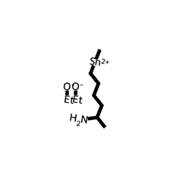 CC[O-].CC[O-].[CH3][Sn+2][CH2]CCCC(C)N